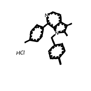 Cc1ccc(Cn2c(C)c(C)c3ccnc(-c4ccc(C)cc4)c32)cc1.Cl